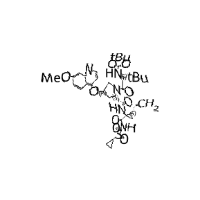 C=C[C@@H]1CC1(NC(=O)[C@@H]1C[C@@H](Oc2ccnc3cc(OC)ccc23)CN1C(=O)[C@@H](NC(=O)OC(C)(C)C)C(C)(C)C)C(=O)NS(=O)(=O)C1CC1